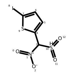 O=[N+]([O-])C(c1ccc(I)s1)[SH](=O)=O